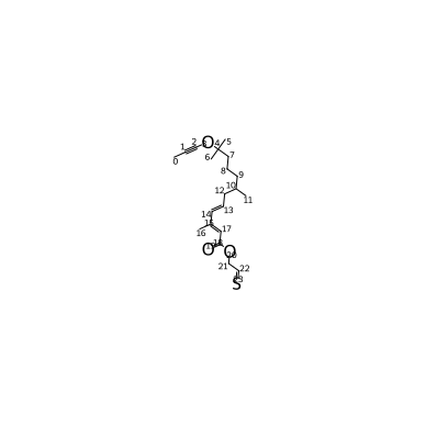 CC#COC(C)(C)CCCC(C)CC=CC(C)=CC(=O)OCC=S